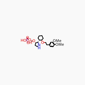 COc1ccc(CCO[C@@H]2CCCC[C@H]2C2NCC[C@@H]2OCOP(=O)(O)O)cc1OC